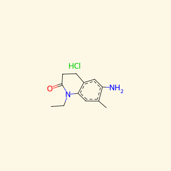 CCN1C(=O)CCc2cc(N)c(C)cc21.Cl